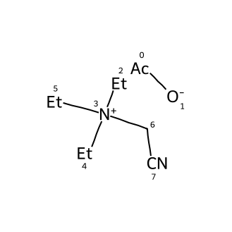 CC(=O)[O-].CC[N+](CC)(CC)CC#N